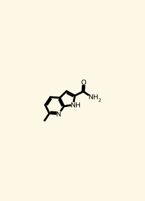 Cc1ccc2cc(C(N)=O)[nH]c2n1